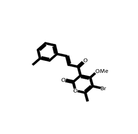 COc1c(Br)c(C)oc(=O)c1C(=O)/C=C/c1cccc(C)c1